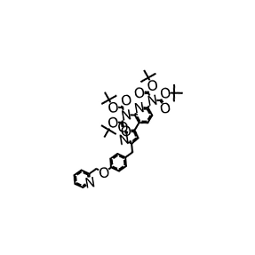 CC(C)(C)OC(=O)N(C(=O)OC(C)(C)C)c1ccc(-c2cc(Cc3ccc(OCc4ccccn4)cc3)no2)c(N(C(=O)OC(C)(C)C)C(=O)OC(C)(C)C)n1